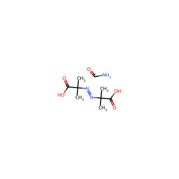 CC(C)(N=NC(C)(C)C(=O)O)C(=O)O.NC=O